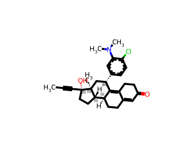 CC#C[C@]1(O)CC[C@H]2[C@@H]3CCC4=CC(=O)CCC4=C3[C@@H](c3ccc(Cl)c(N(C)C)c3)C[C@@]21C